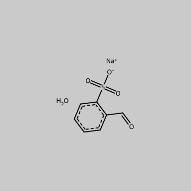 O.O=Cc1ccccc1S(=O)(=O)[O-].[Na+]